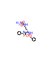 NS(=O)(=O)NCCCC[C@H](NC(=O)OCc1ccccc1)c1csc(-c2ccccc2)n1